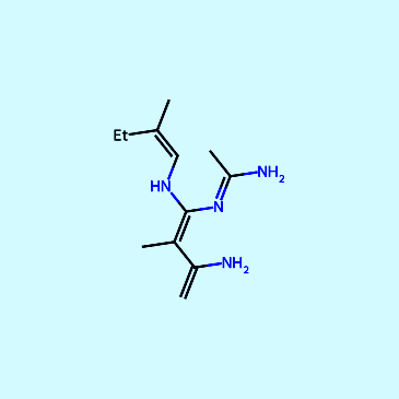 C=C(N)/C(C)=C(\N=C(/C)N)N/C=C(/C)CC